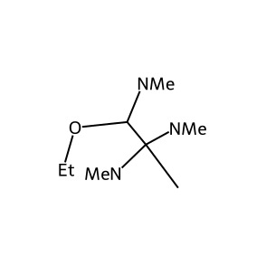 [CH2]COC(NC)C(C)(NC)NC